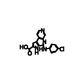 O=C(O)c1cc2c([nH]1)c(Nc1ccc(Cl)cc1)nc1cnccc12